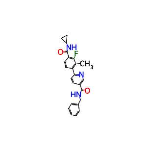 Cc1c(-c2ccc(C(=O)NCc3ccccc3)cn2)ccc(C(=O)NC2CC2)c1F